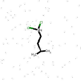 CC(C)CC[SiH](Cl)Cl